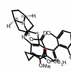 COc1cc2nc(N3[C@@H]4CC[C@H]3C[C@H](OC(=O)c3c(-c5c(Cl)cccc5Cl)noc3C3CC3)C4)sc2cc1C(=O)O